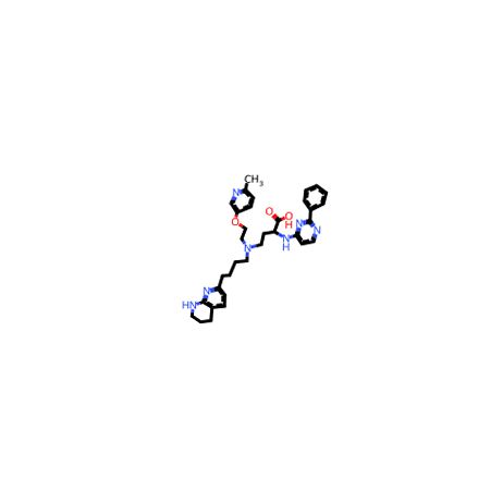 Cc1ccc(OCCN(CCCCc2ccc3c(n2)NCCC3)CCC(Nc2ccnc(-c3ccccc3)n2)C(=O)O)cn1